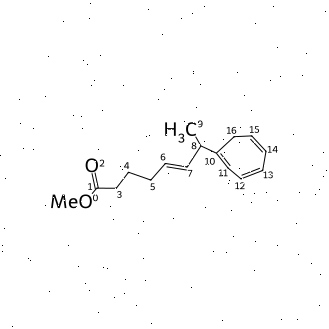 COC(=O)CCCC=CC(C)C1=CC=CC=CC1